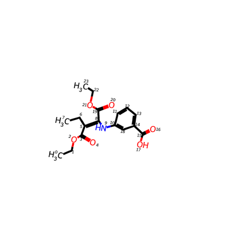 CCOC(=O)C(CC)=C(Nc1cccc(C(=O)O)c1)C(=O)OCC